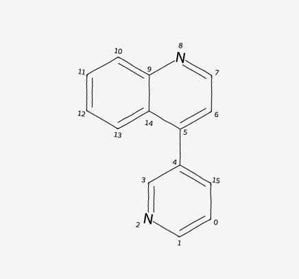 c1cncc(-c2ccnc3ccccc23)c1